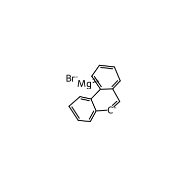 [Br-].[Mg+2].[c-]1cc2ccccc2c2ccccc12